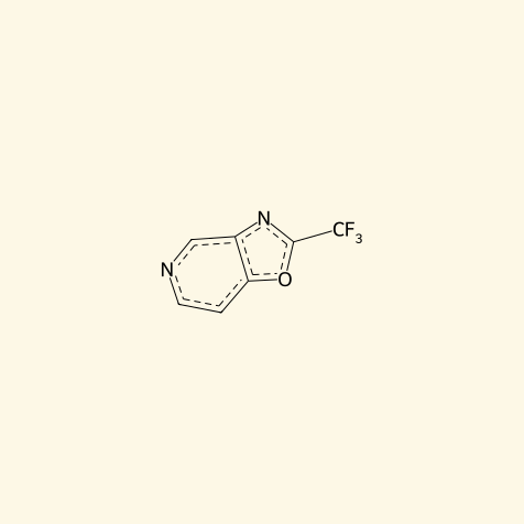 FC(F)(F)c1nc2cnccc2o1